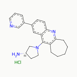 Cl.N[C@H]1CCN(c2c3c(nc4ccc(-c5cccnc5)cc24)CCCCC3)C1